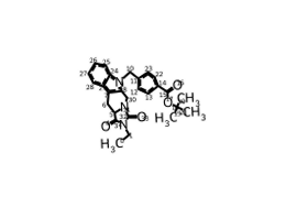 CCN1C(=O)C2Cc3c(n(Cc4ccc(C(=O)OC(C)(C)C)cc4)c4ccccc34)CN2C1=O